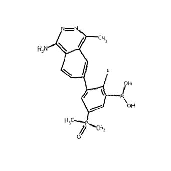 Cc1nnc(N)c2ccc(-c3cc(P(C)(C)=O)cc(B(O)O)c3F)cc12